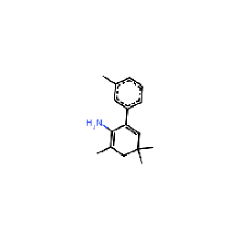 CC1=C(N)C(c2cccc(C)c2)=CC(C)(C)C1